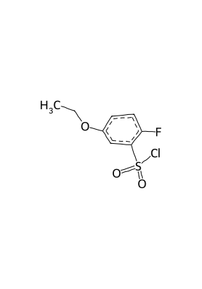 CCOc1ccc(F)c(S(=O)(=O)Cl)c1